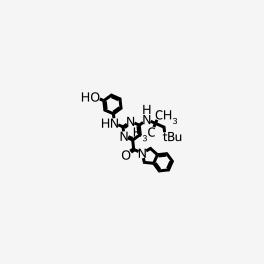 CC(C)(C)CC(C)(C)Nc1cc(C(=O)N2Cc3ccccc3C2)nc(Nc2cccc(O)c2)n1